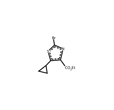 CCOC(=O)c1nc(Br)sc1C1CC1